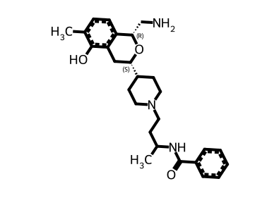 Cc1ccc2c(c1O)C[C@@H](C1CCN(CCC(C)NC(=O)c3ccccc3)CC1)O[C@H]2CN